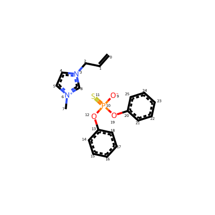 C=CCn1cc[n+](C)c1.[O-]P(=S)(Oc1ccccc1)Oc1ccccc1